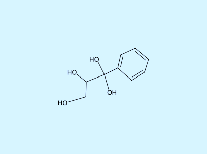 OCC(O)C(O)(O)c1ccccc1